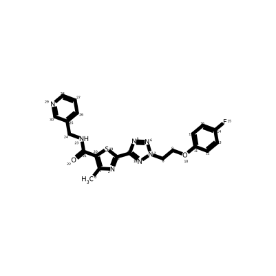 Cc1nc(-c2nnn(CCOc3ccc(F)cc3)n2)sc1C(=O)NCc1cccnc1